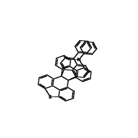 c1ccc(-c2ccc3c4c(cccc24)C24c5cccc6sc7cccc(c7c56)C32c2cccc3c2c2c4cccc2n3-c2ccccc2)cc1